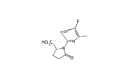 Cc1nc(N2C(=O)CCC2C(=O)O)ccc1F